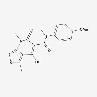 COc1ccc(N(C)C(=O)c2c(O)c3c(C)scc3n(C)c2=O)cc1